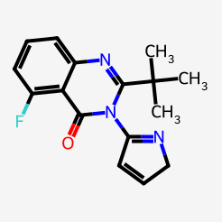 CC(C)(C)c1nc2cccc(F)c2c(=O)n1C1=NCC=C1